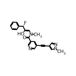 CN(/C=C(\O)[C@@H](F)c1ccccc1)C(=O)c1cncc(C#Cc2cnn(C)c2)c1